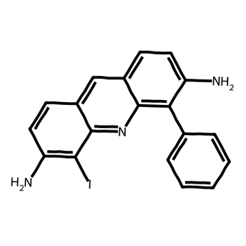 Nc1ccc2cc3ccc(N)c(-c4ccccc4)c3nc2c1I